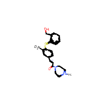 CC(=O)N1CCN(C(=O)/C=C/c2ccc(Sc3ccccc3CO)c([N+](=O)[O-])c2)CC1